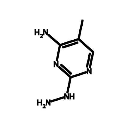 Cc1cnc(NN)nc1N